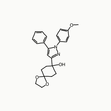 COc1ccc(-n2nc(C3(O)CCC4(CC3)OCCO4)cc2-c2ccccc2)cc1